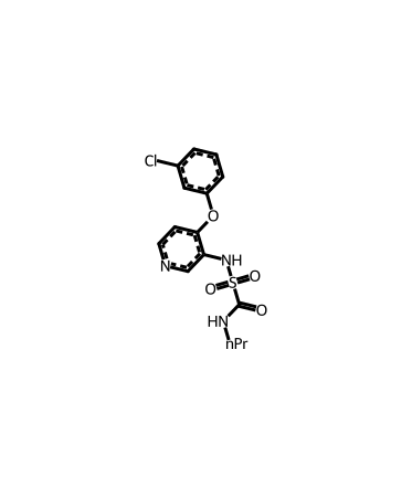 CCCNC(=O)S(=O)(=O)Nc1cnccc1Oc1cccc(Cl)c1